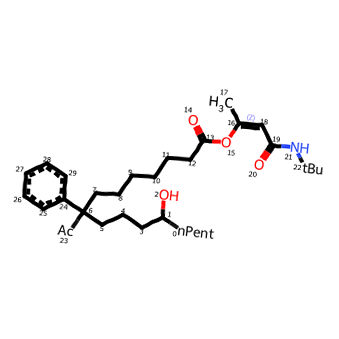 CCCCCC(O)CCCC(CCCCCCC(=O)O/C(C)=C\C(=O)NC(C)(C)C)(C(C)=O)c1ccccc1